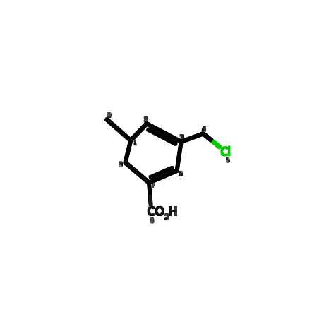 CC1C=C(CCl)C=C(C(=O)O)C1